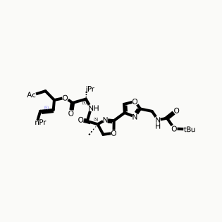 CCC/C=C/C(CC(C)=O)OC(=O)[C@@H](NC(=O)[C@]1(C)COC(c2coc(CNC(=O)OC(C)(C)C)n2)=N1)C(C)C